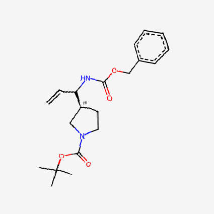 C=CC(NC(=O)OCc1ccccc1)[C@H]1CCN(C(=O)OC(C)(C)C)C1